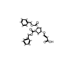 O=C(O)/C=C/O[C@H]1C[C@@H](C(=O)OCc2ccccc2)N(C(=O)OCc2ccccc2)C1